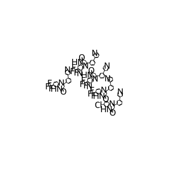 CN(C)c1cc2c(cc1C(F)(F)F)NC(=O)CC(c1cccc(-c3cccnc3)c1)=N2.CN(C)c1cc2c(cc1C(F)(F)F)NC(=O)CC(c1cccc(-c3ccncc3)c1)=N2.O=C1CC(c2cccc(-c3cccnc3)c2)=Nc2ccc(C(F)(F)F)cc2N1.O=C1CC(c2cccc(-c3ccncc3)c2)=Nc2ccc(C(F)(F)F)cc2N1.O=C1CC(c2cccc(-c3ccncc3)c2)=Nc2ccc(Cl)cc2N1